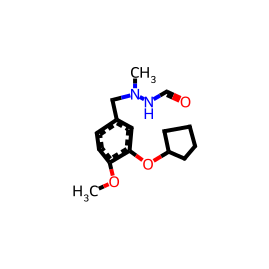 COc1ccc(CN(C)NC=O)cc1OC1CCCC1